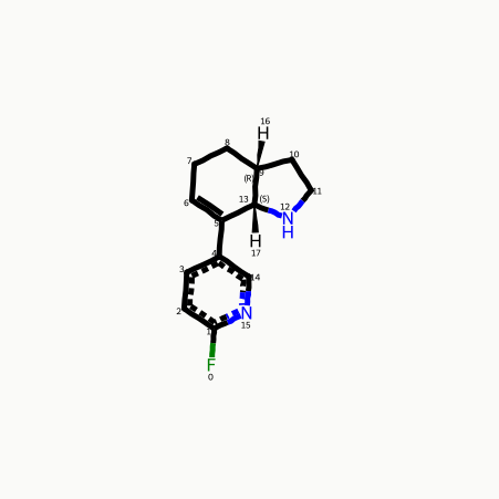 Fc1ccc(C2=CCC[C@@H]3CCN[C@H]23)cn1